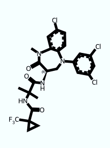 CN1C(=O)[C@H](NC(=O)C(C)(C)NC(=O)C2(C(F)(F)F)CC2)CN(c2cc(Cl)cc(Cl)c2)c2ccc(Cl)cc21